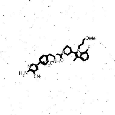 COCCCn1c(C2CCCN(C(=O)C[C@@H](Cc3ccc(-c4cnc(N)c(C#N)c4)cc3)NC(=O)O)C2)c(C)c2cccc(F)c21